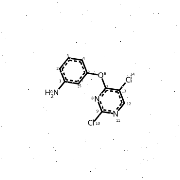 Nc1cccc(Oc2nc(Cl)ncc2Cl)c1